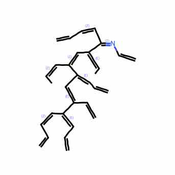 C=C\C=C/C(=N/C=C)C(/C=C(/C=C\C)C(=C\C=C)\C=C(C=C)\C(\C=C/C=C)=C\C=C)=C/C